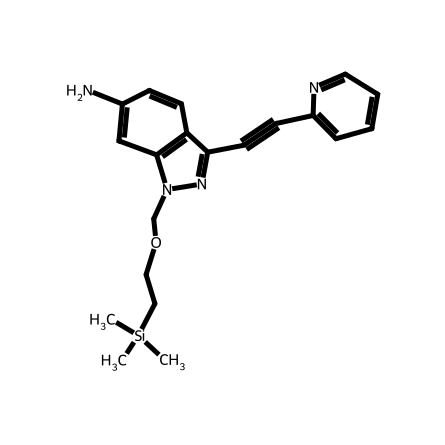 C[Si](C)(C)CCOCn1nc(C#Cc2ccccn2)c2ccc(N)cc21